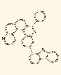 c1ccc(-c2nc3cc(-c4cccc5c4sc4ccccc45)ccc3c3c2ccc2ccc4ncccc4c23)cc1